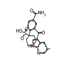 Cc1cnc2[nH]cc(C(=O)c3cc(C(N)=O)ccc3C3(S(=O)(=O)O)CCCCC3)c2c1